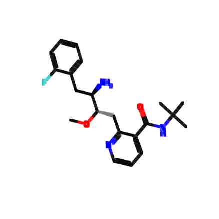 CO[C@@H](Cc1ncccc1C(=O)NC(C)(C)C)[C@H](N)Cc1ccccc1F